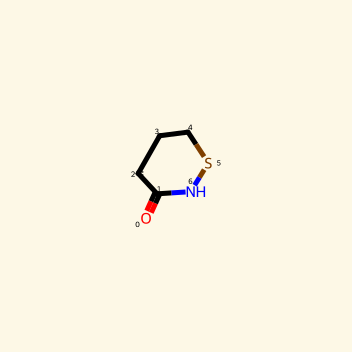 O=C1[C]CCSN1